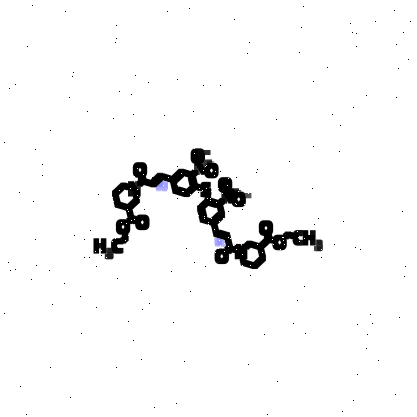 CCOC(=O)C1CCCN(C(=O)/C=C/c2ccc(Sc3ccc(/C=C/C(=O)N4CCCC(C(=O)OCC)C4)cc3[N+](=O)[O-])c([N+](=O)[O-])c2)C1